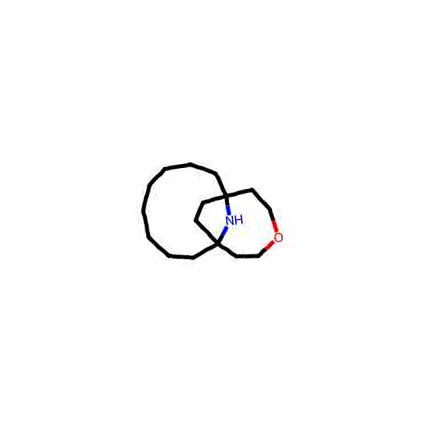 C1CCCCC23CCOCCC(CCC1)(CC2)N3